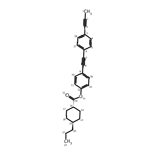 CC#Cc1ccc(C#Cc2ccc(OC(=O)[C@H]3CC[C@H](CCC)CC3)cc2)cc1